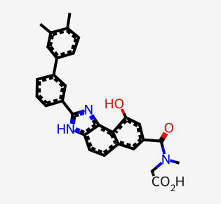 Cc1ccc(-c2cccc(-c3nc4c(ccc5cc(C(=O)N(C)CC(=O)O)cc(O)c54)[nH]3)c2)cc1C